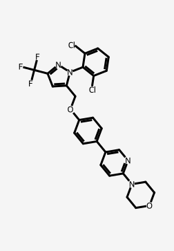 FC(F)(F)c1cc(COc2ccc(-c3ccc(N4CCOCC4)nc3)cc2)n(-c2c(Cl)cccc2Cl)n1